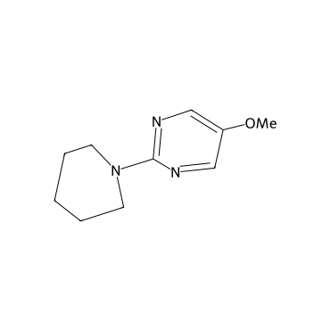 COc1cnc(N2CCCCC2)nc1